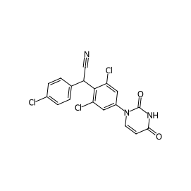 N#CC(c1ccc(Cl)cc1)c1c(Cl)cc(-n2ccc(=O)[nH]c2=O)cc1Cl